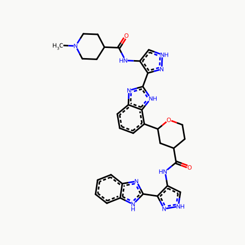 CN1CCC(C(=O)Nc2c[nH]nc2-c2nc3cccc(C4CC(C(=O)Nc5c[nH]nc5-c5nc6ccccc6[nH]5)CCO4)c3[nH]2)CC1